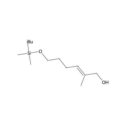 CCC(C)[Si](C)(C)OCCC/C=C(\C)CO